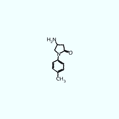 Cc1ccc(N2CC(N)CC2=O)cc1